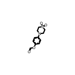 O=COc1ccc(N2CCS(=O)(=O)CC2)cc1